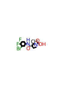 C[C@H]1[C@@H](C(=O)Nc2cc(F)c(F)c(Br)c2)CCN1C(=O)O